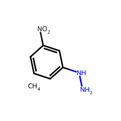 C.NNc1cccc([N+](=O)[O-])c1